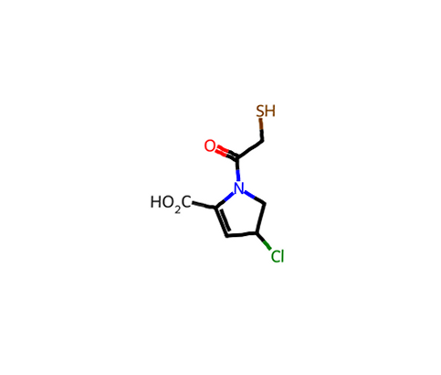 O=C(O)C1=CC(Cl)CN1C(=O)CS